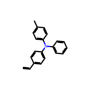 C=Cc1ccc(N(c2ccccc2)c2ccc(C)cc2)cc1